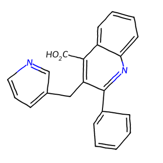 O=C(O)c1c(Cc2cccnc2)c(-c2ccccc2)nc2ccccc12